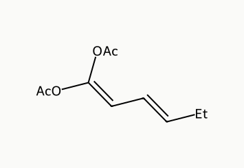 CCC=CC=C(OC(C)=O)OC(C)=O